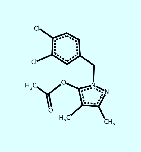 CC(=O)Oc1c(C)c(C)nn1Cc1ccc(Cl)c(Cl)c1